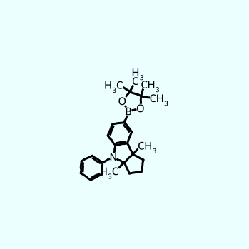 CC1(C)OB(c2ccc3c(c2)C2(C)CCCC2(C)N3c2ccccc2)OC1(C)C